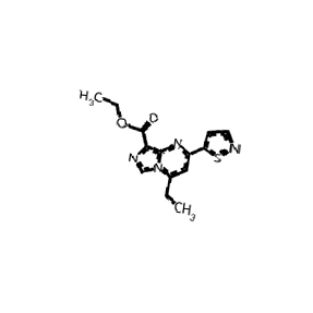 CCOC(=O)c1ncn2c(CC)cc(-c3ccns3)nc12